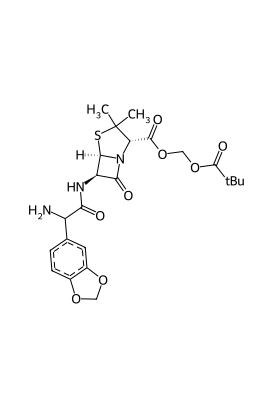 CC(C)(C)C(=O)OCOC(=O)[C@@H]1N2C(=O)[C@@H](NC(=O)C(N)c3ccc4c(c3)OCO4)[C@H]2SC1(C)C